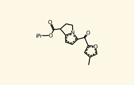 Cc1coc(C(=O)c2ccc3n2CCC3C(=O)OC(C)C)c1